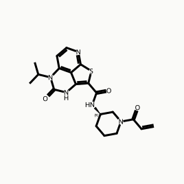 C=CC(=O)N1CCC[C@@H](NC(=O)c2sc3nccc4c3c2NC(=O)N4C(C)C)C1